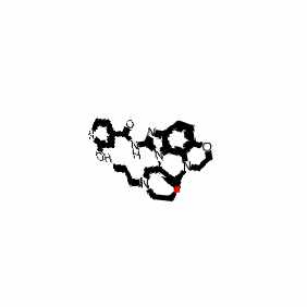 C=CCN1CCCC[C@@H](n2c(NC(=O)c3ccnc(O)c3)nc3ccc4c(c32)N(C2CC2)CCO4)C1